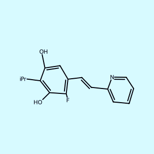 CC(C)c1c(O)cc(C=Cc2ccccn2)c(F)c1O